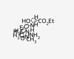 CCOC(=O)[C@H]1[C@@H]2C[C@@H](O)C(Nc3ccc(F)c(C4(C)N=C(N)N(C)C(=O)C4(C)C)c3)[C@@H]21